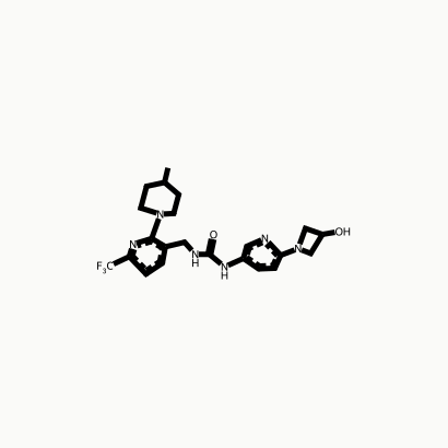 CC1CCN(c2nc(C(F)(F)F)ccc2CNC(=O)Nc2ccc(N3CC(O)C3)nc2)CC1